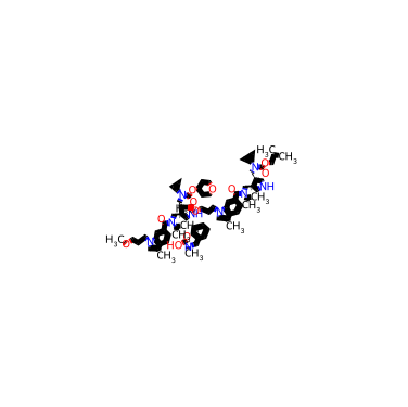 CN(Cc1ccccc1)C(=O)O.COCCCn1cc(C)c2ccc(C(=O)N(C[C@@H]3CNC[C@H]3CN(C(=O)OC3CCOCC3)C3CC3)C(C)C)cc21.COCCCn1cc(C)c2ccc(C(=O)N(C[C@@H]3CNC[C@H]3CN(C(=O)OCC(C)C)C3CC3)C(C)C)cc21